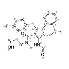 CC(C)c1ccccc1-c1nc(NC=O)c(C(=O)N(C)CCCO)n1Cc1ccc(F)cc1